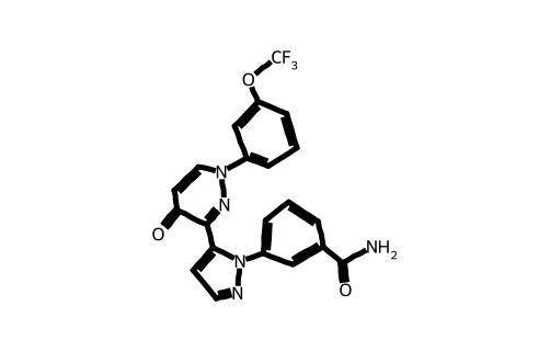 NC(=O)c1cccc(-n2nccc2-c2nn(-c3cccc(OC(F)(F)F)c3)ccc2=O)c1